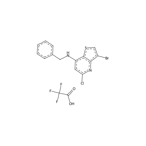 Clc1cc(NCc2ccccc2)c2scc(Br)c2n1.O=C(O)C(F)(F)F